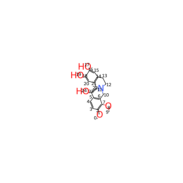 COc1ccc2c(c1OC)CN1CCc3cc(O)c(O)cc3C1=C2O